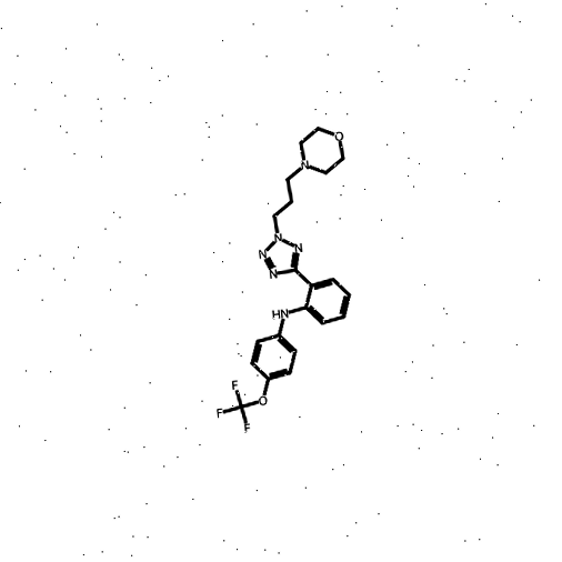 FC(F)(F)Oc1ccc(Nc2ccccc2-c2nnn(CCCN3CCOCC3)n2)cc1